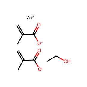 C=C(C)C(=O)[O-].C=C(C)C(=O)[O-].CCO.[Zn+2]